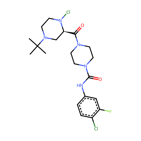 CC(C)(C)N1CCN(Cl)[C@@H](C(=O)N2CCN(C(=O)Nc3ccc(Cl)c(F)c3)CC2)C1